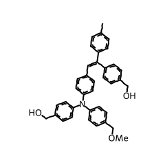 COCc1ccc(N(c2ccc(C=C(c3ccc(C)cc3)c3ccc(CO)cc3)cc2)c2ccc(CO)cc2)cc1